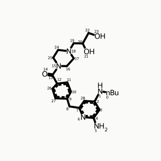 CCCCNc1cc(N)nc(Cc2ccc(C(=O)N3CCN(CC(O)CO)CC3)cc2)c1